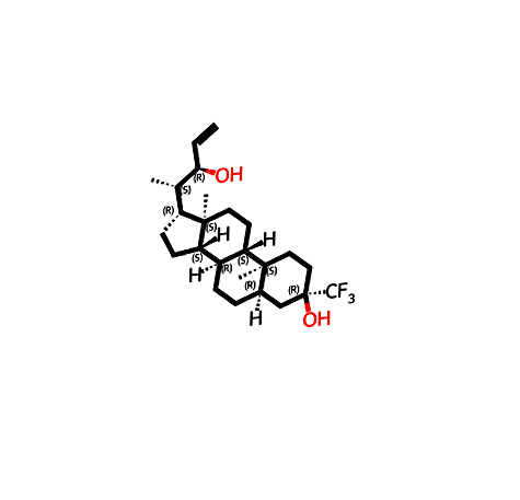 C=C[C@@H](O)[C@@H](C)[C@H]1CC[C@H]2[C@@H]3CC[C@@H]4C[C@@](O)(C(F)(F)F)CC[C@]4(C)[C@H]3CC[C@]12C